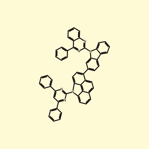 c1ccc(-c2cc(-c3ccccc3)nc(-n3c4cccc5ccc6c(-c7ccc8c9ccccc9n(-c9nc(-c%10ccccc%10)c%10ccccc%10n9)c8c7)ccc3c6c54)n2)cc1